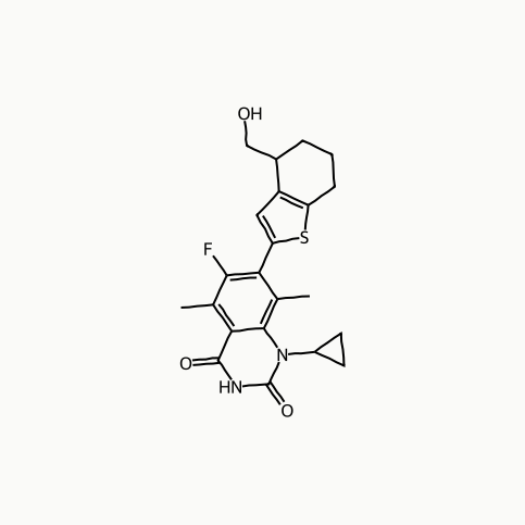 Cc1c(F)c(-c2cc3c(s2)CCCC3CO)c(C)c2c1c(=O)[nH]c(=O)n2C1CC1